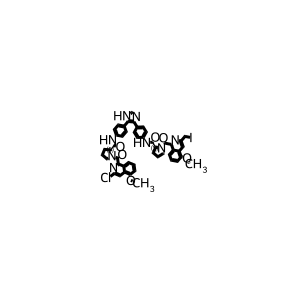 COc1cccc2c(C(=O)N3CCC[C@H]3C(=O)Nc3ccc(-c4[nH]cnc4-c4ccc(NC(=O)[C@@H]5CCCN5C(=O)c5nc(CI)cc6c(OC)cccc56)cc4)cc3)nc(Cl)cc12